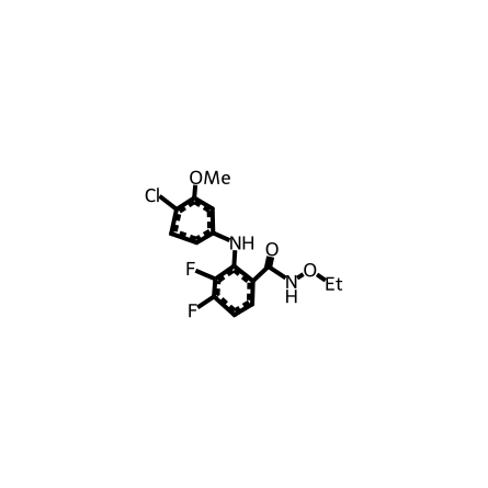 CCONC(=O)c1ccc(F)c(F)c1Nc1ccc(Cl)c(OC)c1